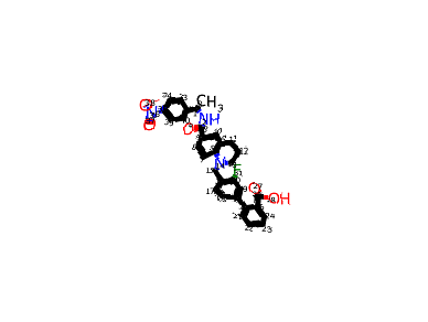 CC(NC(=O)c1ccc2c(c1)CCCN2Cc1ccc(-c2ccccc2C(=O)O)cc1F)c1ccc([N+](=O)[O-])cc1